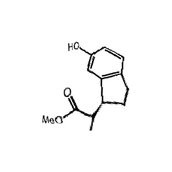 COC(=O)C(C)[C@@H]1CCc2ccc(O)cc21